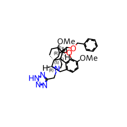 COc1ccc2c3c1O[C@H]1[C@@]4(OC)CC[C@@]5(C[C@@H]4COCc4ccccc4)[C@@H](C2)N(Cc2nn[nH]n2)CC[C@]315